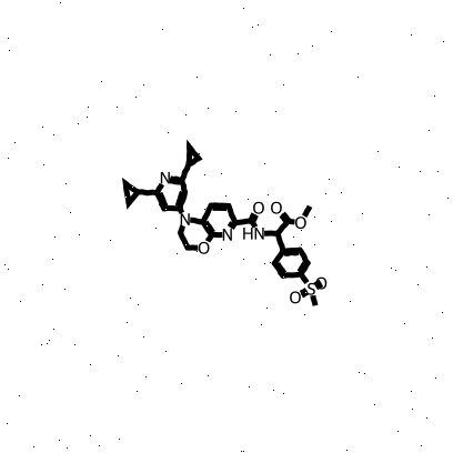 COC(=O)C(NC(=O)c1ccc2c(n1)OCCN2c1cc(C2CC2)nc(C2CC2)c1)c1ccc(S(C)(=O)=O)cc1